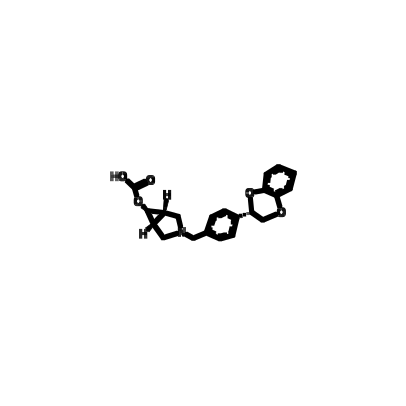 O=C(O)O[C@H]1[C@@H]2CN(Cc3ccc([C@H]4COc5ccccc5O4)cc3)C[C@@H]21